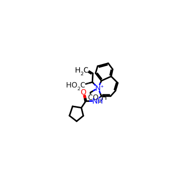 C=CC(C(=O)O)[N+]1(CC(=O)O)C(NC(=O)C2CCCC2)=CC=Cc2ccccc21